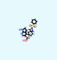 O=S(=O)(c1ccccc1)N1CC2(CCC3(C2)OB(O)c2cnc4[nH]ccc4c23)C1